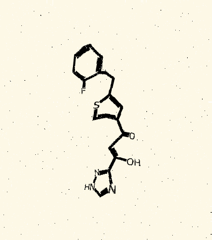 O=C(C=C(O)c1nc[nH]n1)c1csc(Cc2ccccc2F)c1